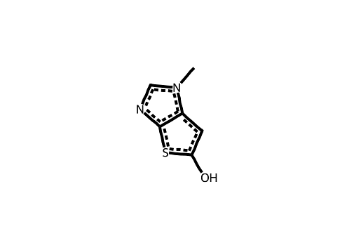 Cn1cnc2sc(O)cc21